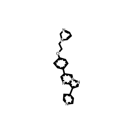 C1=CN(CCOc2ccc(-c3cnc4c(-c5ccncc5)cnn4c3)cc2)CN=C1